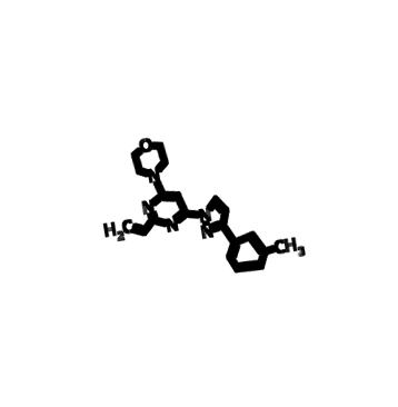 C=Cc1nc(N2CCOCC2)cc(-n2ccc(-c3cccc(C)c3)n2)n1